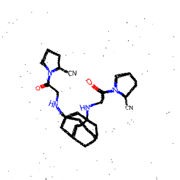 N#CC1CCCN1C(=O)CNC12CC3CC(C1)CC(NCC(=O)N1CCCC1C#N)(C3)C2